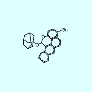 CCC(C)c1ccc(OC(OC23CC4CC(CC(C4)C2)C3)c2c3ccccc3cc3ccccc23)cc1